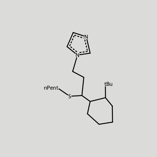 CCCCCSC(CCn1ccnc1)C1CCCCC1C(C)(C)C